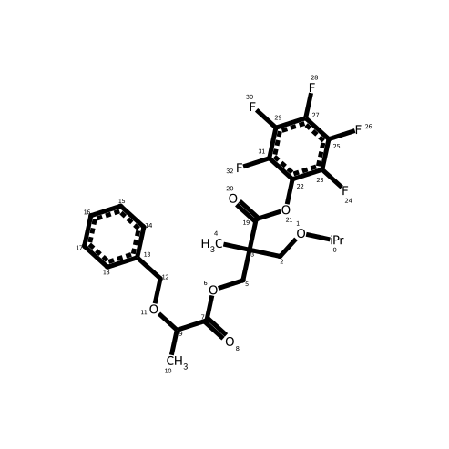 CC(C)OCC(C)(COC(=O)C(C)OCc1ccccc1)C(=O)Oc1c(F)c(F)c(F)c(F)c1F